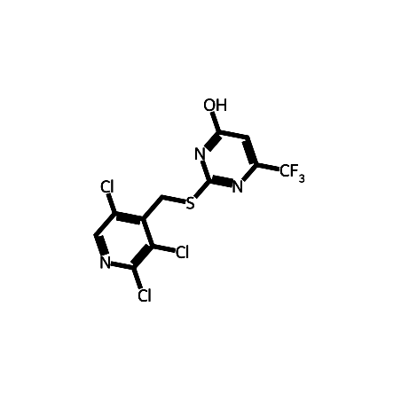 Oc1cc(C(F)(F)F)nc(SCc2c(Cl)cnc(Cl)c2Cl)n1